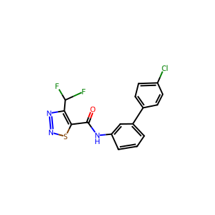 O=C(Nc1cccc(-c2ccc(Cl)cc2)c1)c1snnc1C(F)F